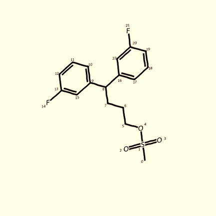 CS(=O)(=O)OCCCC(c1cccc(F)c1)c1cccc(F)c1